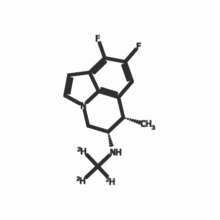 [2H]C([2H])([2H])N[C@@H]1Cn2ccc3c(F)c(F)cc(c32)[C@@H]1C